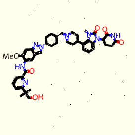 COc1cc2nn([C@H]3CC[C@H](CN4CCC(c5cccc6c5n(C)c(=O)n6C5CCC(=O)NC5=O)CC4)CC3)cc2cc1NC(=O)c1cccc(C(C)(C)CO)n1